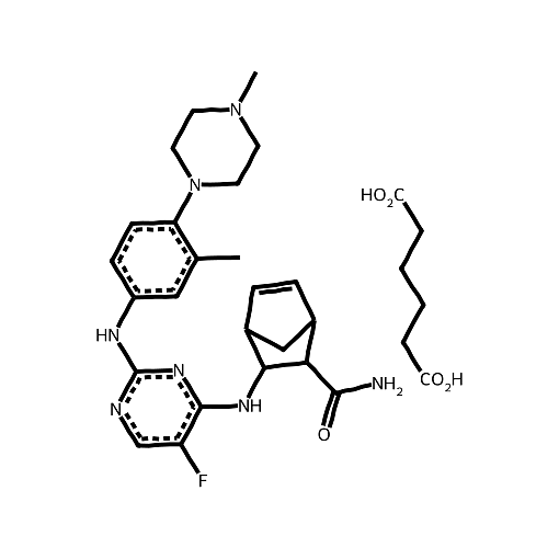 Cc1cc(Nc2ncc(F)c(NC3C4C=CC(C4)C3C(N)=O)n2)ccc1N1CCN(C)CC1.O=C(O)CCCCC(=O)O